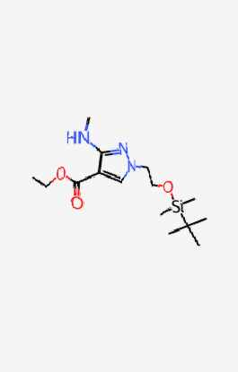 CCOC(=O)c1cn(CCO[Si](C)(C)C(C)(C)C)nc1NC